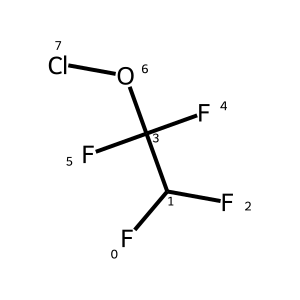 FC(F)C(F)(F)OCl